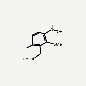 [CH2]c1ccc(NO)c(SC)c1CCCCCCCC